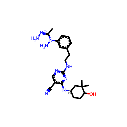 C/C(=N/N)N(N)c1cccc(CCNc2ncc(C#N)c(N[C@@H]3CCC(O)C(C)(C)C3)n2)c1